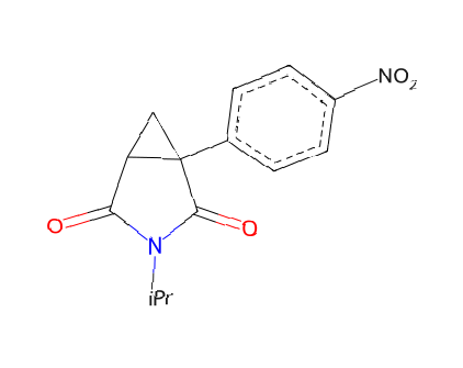 CC(C)N1C(=O)C2CC2(c2ccc([N+](=O)[O-])cc2)C1=O